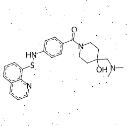 CN(C)CC1(O)CCN(C(=O)c2ccc(NSc3cccc4cccnc34)cc2)CC1